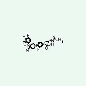 CC(=S)NC[C@H]1CN(c2ccc(N3CCC(C#N)(Nc4ccc(F)c(F)c4F)CC3)c(F)c2)C(=O)O1